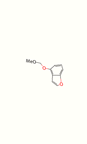 COCOc1cccc2occc12